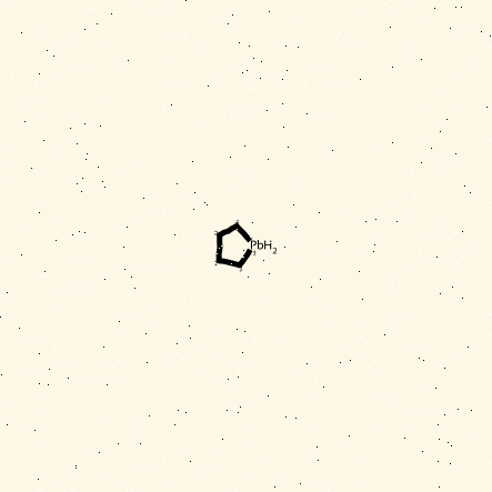 C1C[CH2][PbH2][CH2]1